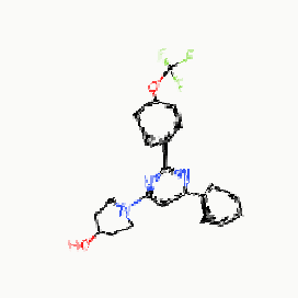 OC1CCN(c2cc(-c3ccccc3)nc(-c3ccc(OC(F)(F)F)cc3)n2)CC1